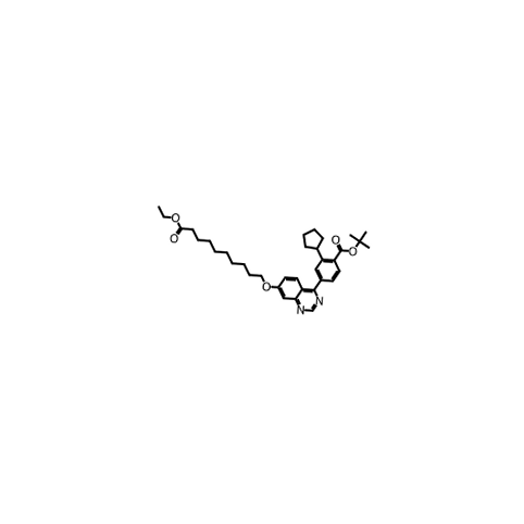 CCOC(=O)CCCCCCCCCOc1ccc2c(-c3ccc(C(=O)OC(C)(C)C)c(C4CCCC4)c3)ncnc2c1